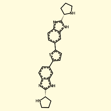 c1cc2nc([C@@H]3CCCN3)[nH]c2cc1-c1ccc(-c2ccc3nc([C@@H]4CCCN4)[nH]c3c2)s1